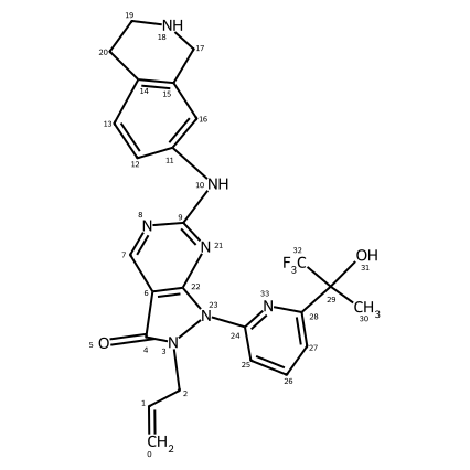 C=CCn1c(=O)c2cnc(Nc3ccc4c(c3)CNCC4)nc2n1-c1cccc(C(C)(O)C(F)(F)F)n1